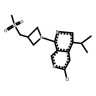 CC(C)c1cnc(N2CC(CS(C)(=O)=O)C2)c2cnc(Cl)cc12